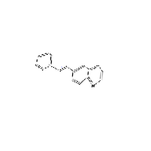 C(=C\c1ccccn1)/c1ccc2ncccc2c1